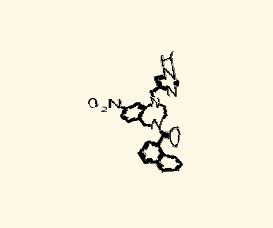 O=C(c1cccc2ccccc12)N1CCN(Cc2c[nH]cn2)c2cc([N+](=O)[O-])ccc2C1